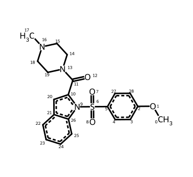 COc1ccc(S(=O)(=O)n2c(C(=O)N3CCN(C)CC3)cc3ccccc32)cc1